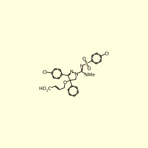 CN/C(=N\S(=O)(=O)c1ccc(Cl)cc1)N1CC(OC/C=C/C(=O)O)(c2ccccc2)C(c2ccc(Cl)cc2)=N1